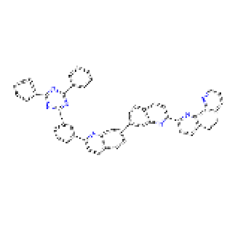 c1ccc(-c2nc(-c3ccccc3)nc(-c3cccc(-c4ccc5ccc(-c6ccc7ccc(-c8ccc9ccc%10cccnc%10c9n8)nc7c6)cc5n4)c3)n2)cc1